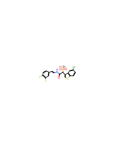 CCP(=O)(O)C(C(=O)NC=Cc1ccc(F)c(F)c1)c1csc2ccc(Cl)cc12